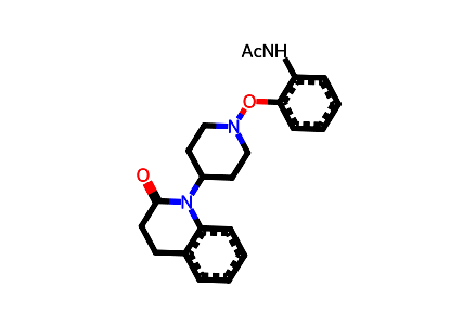 CC(=O)Nc1ccccc1ON1CCC(N2C(=O)CCc3ccccc32)CC1